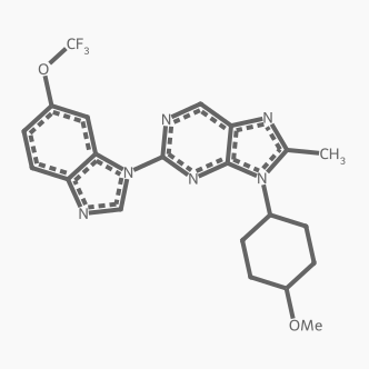 COC1CCC(n2c(C)nc3cnc(-n4cnc5ccc(OC(F)(F)F)cc54)nc32)CC1